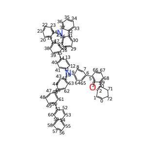 C1=Cc2oc3c(-c4ccc(N(c5ccc(-c6ccc(-c7ccccc7-n7c8ccccc8c8ccccc87)cc6)cc5)c5ccc(-c6cccc(-c7ccc8ccccc8c7)c6)cc5)cc4)cccc3c2CC1